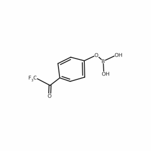 O=C(c1ccc(OB(O)O)cc1)C(F)(F)F